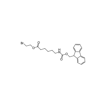 O=C(CCCCCNC(=O)OCC1c2ccccc2-c2ccccc21)OCCBr